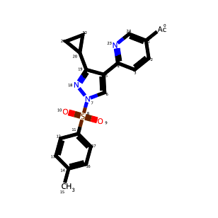 CC(=O)c1ccc(-c2cn(S(=O)(=O)c3ccc(C)cc3)nc2C2CC2)nc1